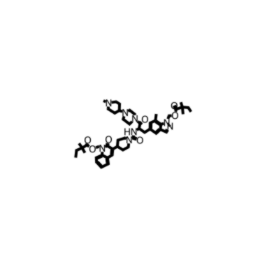 CCC(C)(C)C(=O)OCn1ncc2cc(CC(NC(=O)N3CCC(c4cc5ccccc5n(COC(=O)C(C)(C)CC)c4=O)CC3)C(=O)N3CCN(C4CCN(C)CC4)CC3)cc(C)c21